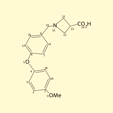 COc1ccc(Oc2ccc(CN3CC(C(=O)O)C3)cc2)cc1